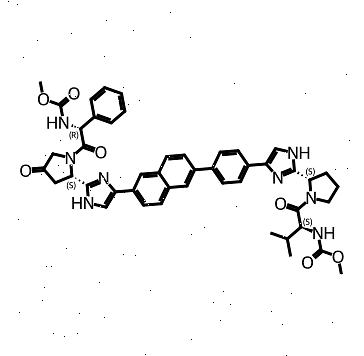 COC(=O)N[C@H](C(=O)N1CCC[C@H]1c1nc(-c2ccc(-c3ccc4cc(-c5c[nH]c([C@@H]6CC(=O)CN6C(=O)[C@H](NC(=O)OC)c6ccccc6)n5)ccc4c3)cc2)c[nH]1)C(C)C